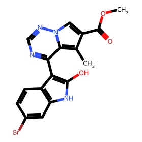 COC(=O)c1cn2ncnc(-c3c(O)[nH]c4cc(Br)ccc34)c2c1C